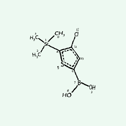 C[Si](C)(C)c1sc(B(O)O)cc1Cl